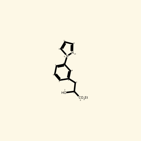 CCOC(=O)C(O)Cc1cccc(-n2cccn2)c1